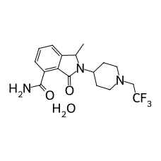 CC1c2cccc(C(N)=O)c2C(=O)N1C1CCN(CC(F)(F)F)CC1.O